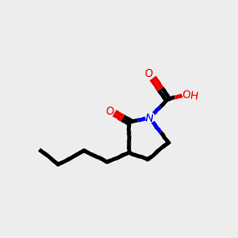 CCCCC1CCN(C(=O)O)C1=O